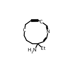 CCC1(N)/C=C\N=C/CC#CCCCCC1